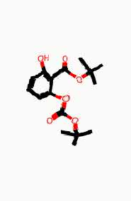 CC(C)(C)OC(=O)Oc1cccc(O)c1C(=O)OC(C)(C)C